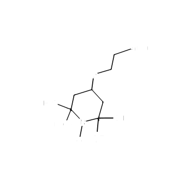 CCCCCCCCCCOC1CC(C)(C)N([O])C(C)(C)C1